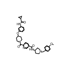 COc1ccc(CN2CCC(NC(=O)c3ccc(C(=O)N4CCC(Oc5cccc(NC(=O)C6CC6)c5)CC4)nc3)CC2)cc1